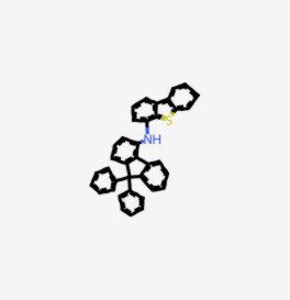 c1ccc(C2(c3ccccc3)c3ccccc3-c3c(Nc4cccc5c4sc4ccccc45)cccc32)cc1